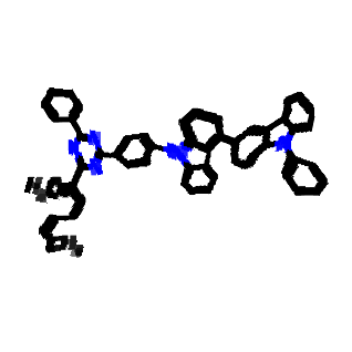 C=C(/C=C\C=C/C)c1nc(-c2ccccc2)nc(-c2ccc(-n3c4ccccc4c4c(-c5ccc6c(c5)c5ccccc5n6-c5ccccc5)cccc43)cc2)n1